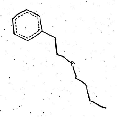 CCCC[P]CCc1ccccc1